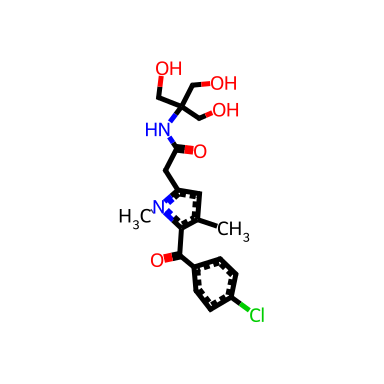 Cc1cc(CC(=O)NC(CO)(CO)CO)n(C)c1C(=O)c1ccc(Cl)cc1